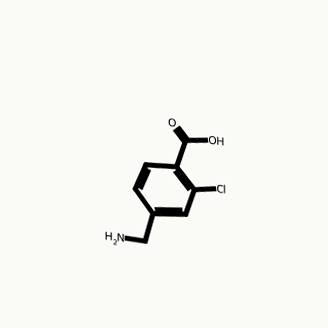 NCc1ccc(C(=O)O)c(Cl)c1